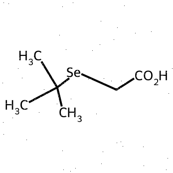 CC(C)(C)[Se]CC(=O)O